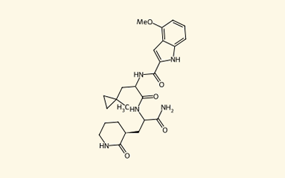 COc1cccc2[nH]c(C(=O)NC(CC3(C)CC3)C(=O)NC(C[C@@H]3CCCNC3=O)C(N)=O)cc12